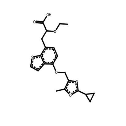 CCOC(Cc1ccc(OCc2nc(C3CC3)oc2C)c2ccsc12)C(=O)O